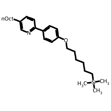 CCCCCCCCc1ccc(-c2ccc(OCCCCCC[Si](C)(C)C)cc2)nc1